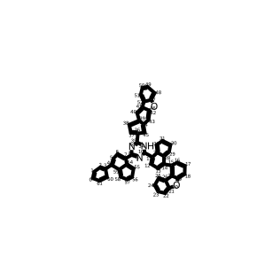 c1ccc(-c2ccc(C3=NC(c4ccc(-c5cccc6oc7ccccc7c56)c5ccccc45)NC(c4ccc5cc6c(cc5c4)oc4ccccc46)=N3)c3ccccc23)cc1